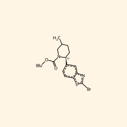 CC1CC[C@@H](c2ccc3sc(Br)nc3c2)N(C(=O)OC(C)(C)C)C1